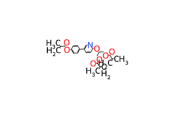 C=C(C)C(=O)OCC(COC(=O)C(=C)C)Oc1ccc(-c2ccc(OC(=O)C(=C)C)cc2)cn1